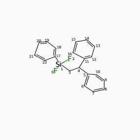 F[Si](F)(CC(c1ccccc1)c1ccccc1)c1ccccc1